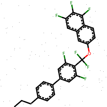 CCCc1ccc(-c2cc(F)c(C(F)(F)Oc3ccc4c(F)c(F)c(F)cc4c3)c(F)c2)cc1